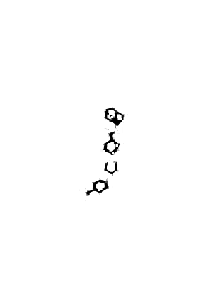 O=C(O)c1ccc(OC2CCN(c3ccc(C(=O)NC4C5CC6CC(C5)CC4C6)cc3)CC2)cc1